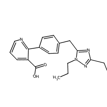 CCCn1nc(CC)nc1Cc1ccc(-c2ncccc2C(=O)O)cc1